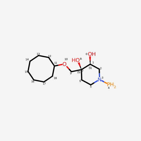 O[C@H]1CN(P)CC[C@]1(O)COC1CCCCCCC1